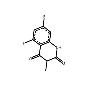 CC1C(=O)Nc2cc(F)cc(F)c2C1=O